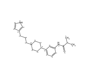 CC(C)C(=O)Nc1cccc(C2CCN(CCCc3cc[nH]c3)CC2)c1